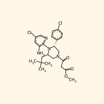 COC(=O)CC(=O)N1CC(CC(C)(C)C)N(c2ncc(Cl)cc2N)[C@H](c2ccc(Cl)cc2)C1